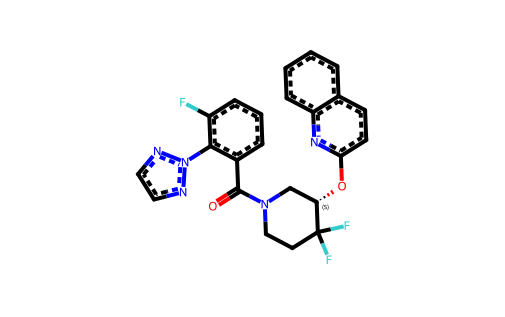 O=C(c1cccc(F)c1-n1nccn1)N1CCC(F)(F)[C@@H](Oc2ccc3ccccc3n2)C1